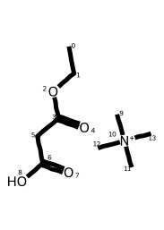 CCOC(=O)CC(=O)O.C[N+](C)(C)C